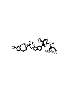 O=C(CN1Cc2ccc(-c3nc(NC4=CNOC=C4)ncc3Cl)cc2C1=O)N1CCc2ccc(Cl)cc2CC1